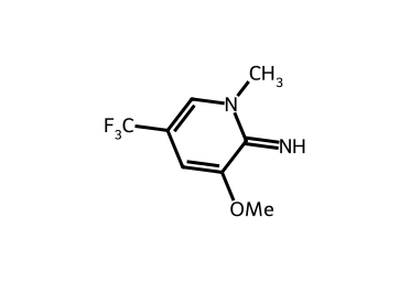 COc1cc(C(F)(F)F)cn(C)c1=N